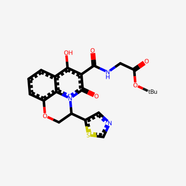 CC(C)(C)OC(=O)CNC(=O)c1c(O)c2cccc3c2n(c1=O)C(c1cncs1)CO3